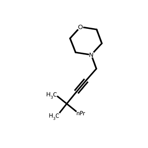 CCCC(C)(C)C#CCN1CCOCC1